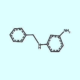 Nc1c[c]cc(NCc2ccccc2)c1